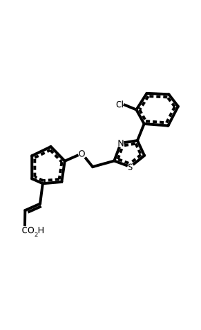 O=C(O)/C=C/c1cccc(OCc2nc(-c3ccccc3Cl)cs2)c1